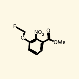 COC(=O)c1cccc(OCF)c1[N+](=O)[O-]